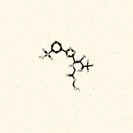 CCOC(=O)CN/C(=C(/Br)C(=N)C(F)(F)F)c1nnc(-c2cccc(S(C)(=O)=O)c2)s1